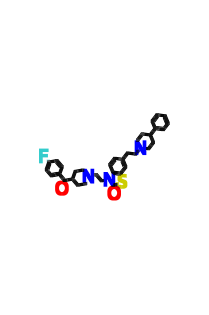 O=C(c1ccc(F)cc1)C1CCN(CCn2c(=O)sc3cc(CCN4CCC(c5ccccc5)CC4)ccc32)CC1